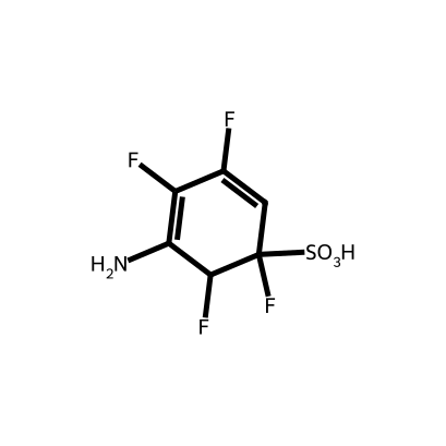 NC1=C(F)C(F)=CC(F)(S(=O)(=O)O)C1F